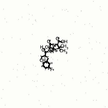 CCC(Sc1cccc(F)c1)C(=O)N[C@@]1(C)C(=O)N2[C@@H](C(=O)O)C(C)(C)S[C@@H]21